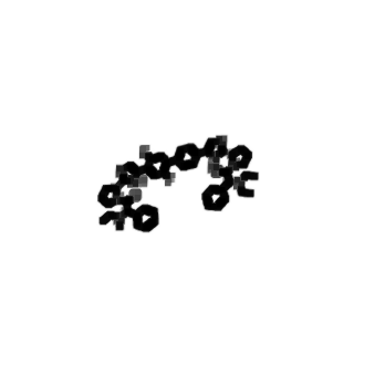 CCN(C)[C@@H](C(=O)N1CCC[C@H]1c1ncc(-c2cc(F)c(-c3ccc(-c4cnc([C@@H]5CCCN5C(=O)[C@@H](c5ccccc5)N(CC)CC)[nH]4)cc3)cc2F)[nH]1)c1ccccc1